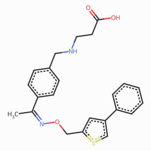 C/C(=N/OCc1cc(-c2ccccc2)cs1)c1ccc(CNCCC(=O)O)cc1